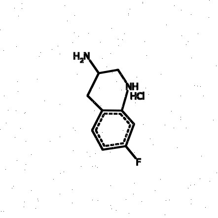 Cl.NC1CNc2cc(F)ccc2C1